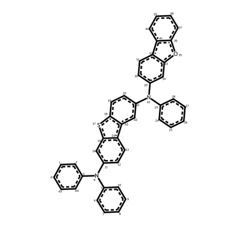 c1ccc(N(c2ccccc2)c2ccc3c(c2)sc2ccc(N(c4ccccc4)c4ccc5c(c4)oc4ccccc45)cc23)cc1